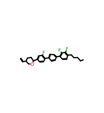 C=CC1CCC(c2ccc(-c3ccc(-c4ccc(CCCCC)c(F)c4F)cc3)c(F)c2)OC1